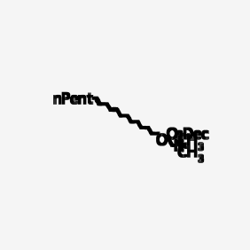 CCCCCC=CCC=CCCCCCCCCOC(CN(C)C)OCCCCCCCCCC